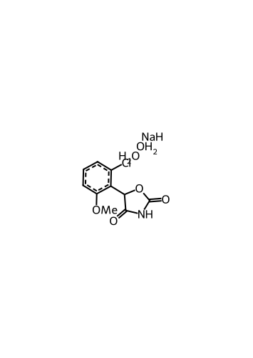 COc1cccc(Cl)c1C1OC(=O)NC1=O.O.O.[NaH]